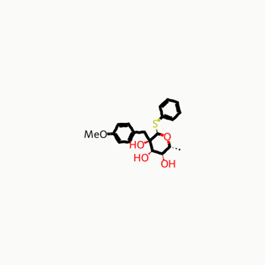 COc1ccc(C[C@]2(O)[C@H](Sc3ccccc3)O[C@H](C)[C@H](O)[C@@H]2O)cc1